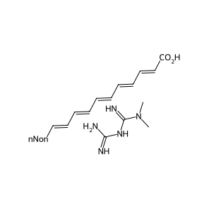 CCCCCCCCCC=CC=CC=CC=CC=CC(=O)O.CN(C)C(=N)NC(=N)N